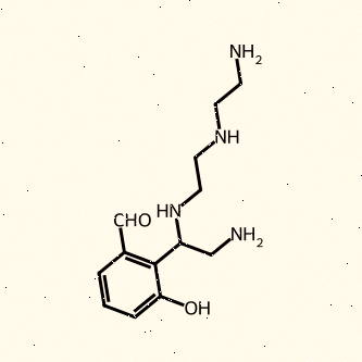 NCCNCCNC(CN)c1c(O)cccc1C=O